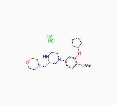 COc1ccc(N2CCNC(CN3CCOCC3)C2)cc1OC1CCCC1.Cl.Cl